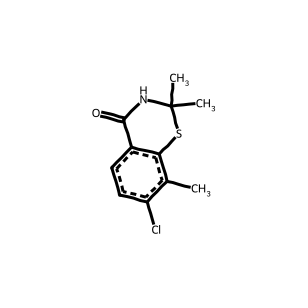 Cc1c(Cl)ccc2c1SC(C)(C)NC2=O